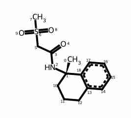 C[C@]1(NC(=O)CS(C)(=O)=O)CCCc2ccccc21